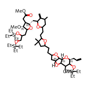 C=CC[C@@H]1O[C@@H]2C(O[C@@H]3CC(CCC4CC(C)(C)C(CCC5CC(C)C(=C)C(C[C@@H]6OC(CC(CO[Si](CC)(CC)CC)O[Si](CC)(CC)CC)[C@H](OC)C6CC(=O)OC)O5)O4)OC23)C(OC)C1O[Si](CC)(CC)CC